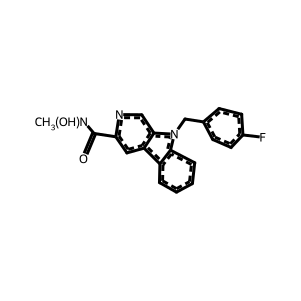 CN(O)C(=O)c1cc2c3ccccc3n(Cc3ccc(F)cc3)c2cn1